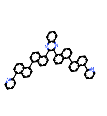 c1ccc(-c2cccc3c(-c4cccc5c(-c6nc7ccccc7nc6-c6cccc7c(-c8cccc9c(-c%10ccccn%10)cccc89)cccc67)cccc45)cccc23)nc1